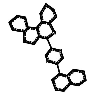 c1ccc2c(-c3cnc(-c4nc5ccccc5c5c4ccc4ccccc45)cn3)cccc2c1